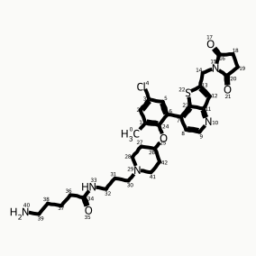 Cc1cc(Cl)cc(-c2ccnc3cc(CN4C(=O)CCC4=O)sc23)c1OC1CCN(CCCNC(=O)CCCCN)CC1